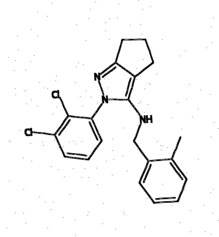 Cc1ccccc1CNc1c2c(nn1-c1cccc(Cl)c1Cl)CCC2